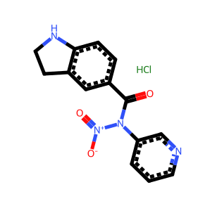 Cl.O=C(c1ccc2c(c1)CCN2)N(c1cccnc1)[N+](=O)[O-]